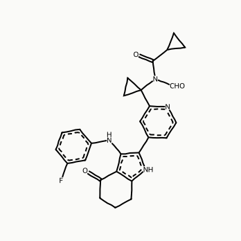 O=CN(C(=O)C1CC1)C1(c2cc(-c3[nH]c4c(c3Nc3cccc(F)c3)C(=O)CCC4)ccn2)CC1